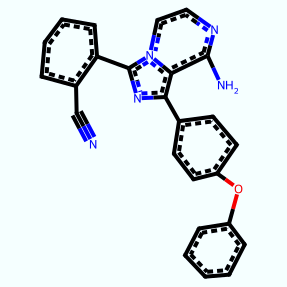 N#Cc1ccccc1-c1nc(-c2ccc(Oc3ccccc3)cc2)c2c(N)nccn12